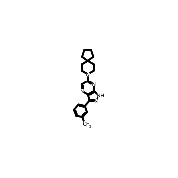 FC(F)(F)c1cccc(-c2n[nH]c3nc(N4CCC5(CCCC5)CC4)cnc23)c1